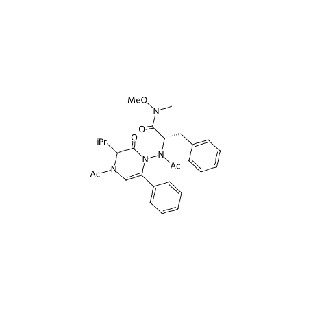 CON(C)C(=O)[C@H](Cc1ccccc1)N(C(C)=O)N1C(=O)C(C(C)C)N(C(C)=O)C=C1c1ccccc1